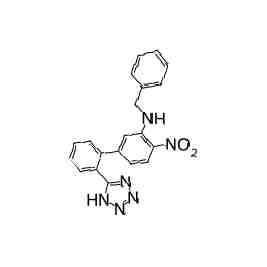 O=[N+]([O-])c1ccc(-c2ccccc2-c2nnn[nH]2)cc1NCc1ccccc1